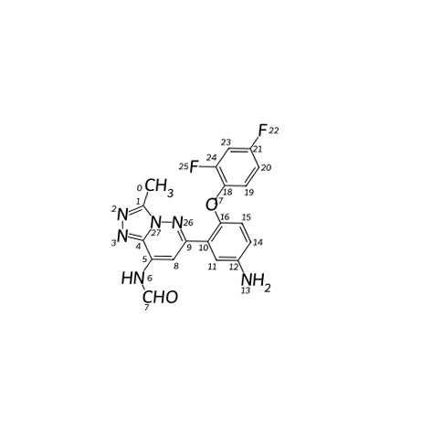 Cc1nnc2c(NC=O)cc(-c3cc(N)ccc3Oc3ccc(F)cc3F)nn12